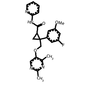 COc1cc(F)cc(C2(COc3cnc(C)nc3C)CC2C(=O)Nc2ccccn2)c1